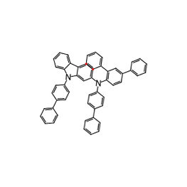 c1ccc(-c2ccc(N(c3ccc4c5ccccc5n(-c5ccc(-c6ccccc6)cc5)c4c3)c3ccc(-c4ccccc4)cc3-c3ccccc3)cc2)cc1